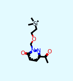 CC(=O)c1ccc(=O)n(COCC[Si](C)(C)C)n1